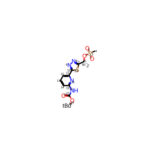 C[C@@H](OS(C)(=O)=O)c1nnc(-c2cccc(NC(=O)OC(C)(C)C)n2)s1